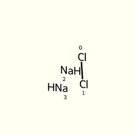 ClCl.[NaH].[NaH]